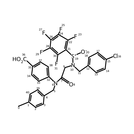 Cc1ccc(CN(C(=O)CN(Cc2ccc(Cl)cc2)[S+]([O-])c2c(F)c(F)c(F)c(F)c2F)c2ccc(C(=O)O)cc2)cc1